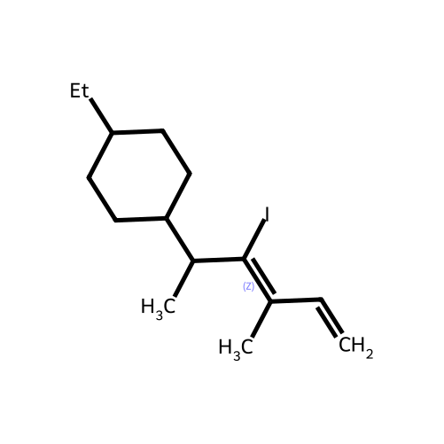 C=C/C(C)=C(\I)C(C)C1CCC(CC)CC1